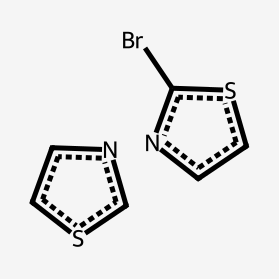 Brc1nccs1.c1cscn1